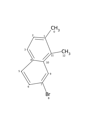 Cc1ccc2ccc(Br)cc2c1C